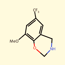 COc1cc(C(F)(F)F)cc2c1OCNC2